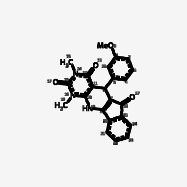 COc1cccc(C2C3=C(Nc4c2c(=O)n(C)c(=O)n4C)c2ccccc2C3=O)c1